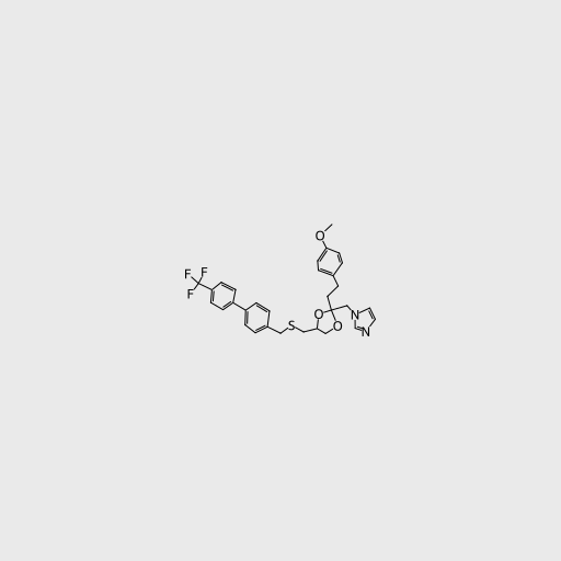 COc1ccc(CCC2(Cn3ccnc3)OCC(CSCc3ccc(-c4ccc(C(F)(F)F)cc4)cc3)O2)cc1